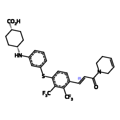 O=C(/C=C/c1ccc(Sc2cccc(N[C@H]3CC[C@@H](C(=O)O)CC3)c2)c(C(F)(F)F)c1C(F)(F)F)N1CC=CCC1